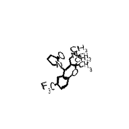 CN(C)CC1=C(N2CCCC2=O)c2cc(C(F)(F)F)ccc2OC1(C)C